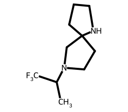 CC(N1CCC2(CCCN2)C1)C(F)(F)F